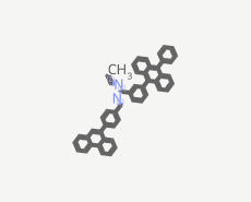 C\C=C/N=C(\N=C\c1ccc(-c2cc3ccccc3c3ccccc23)cc1)c1cccc(-c2c3ccccc3c(-c3ccccc3)c3ccccc23)c1